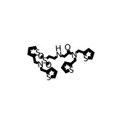 O=C(CNCCS(=O)(=O)N(Cc1cccs1)Cc1cccs1)N(Cc1cccs1)Cc1cccs1